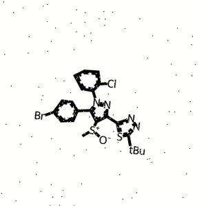 C[S+]([O-])c1c(-c2nnc(C(C)(C)C)s2)nn(-c2ccccc2Cl)c1-c1ccc(Br)cc1